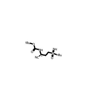 CCCCS(=N)(=O)CC[C@@H](C#N)NC(=O)OC(C)(C)C